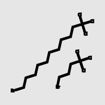 Cl[Si](Cl)(Cl)CCCBr.Cl[Si](Cl)(Cl)CCCCCCCCCCBr